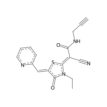 C#CCNC(=O)/C(C#N)=c1\s/c(=C\c2ccccn2)c(=O)n1CC